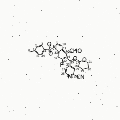 Cc1ccc(S(=O)(=O)n2ccc3c(C=O)c(C(OC4CCCCO4)c4ccnc(C#N)c4)c(F)cc32)cc1